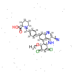 COc1cc(Nc2c(C#N)cnc3cc(-c4ccc(CN5CCCCC5C(=O)O)cc4)ccc23)c(Cl)cc1Cl